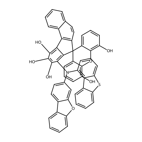 Oc1cccc2c1Oc1c(O)cccc1C21c2ccc3ccccc3c2-c2c(O)c(O)c(O)c(N(c3ccc4c(c3)oc3ccccc34)c3cccc4sc5ccccc5c34)c21